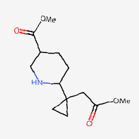 COC(=O)CC1(C2CCC(C(=O)OC)CN2)CC1